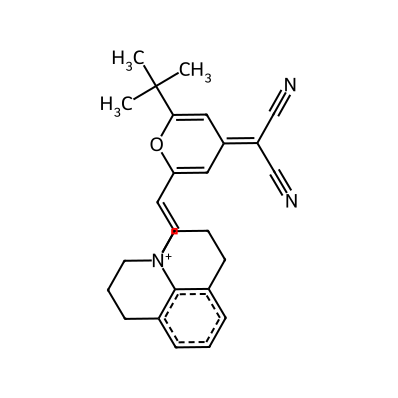 CC(C)(C)C1=CC(=C(C#N)C#N)C=C(C=C[N+]23CCCc4cccc(c42)CCC3)O1